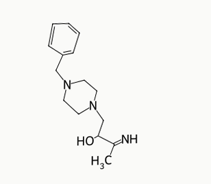 CC(=N)C(O)CN1CCN(Cc2ccccc2)CC1